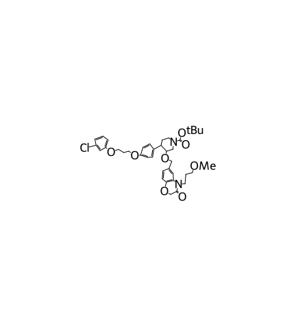 COCCCN1C(=O)COc2ccc(COC3CN(C(=O)OC(C)(C)C)CCC3c3ccc(OCCCOc4cccc(Cl)c4)cc3)cc21